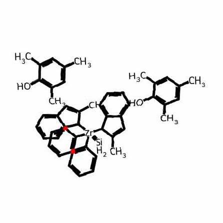 CC1=Cc2ccccc2[CH]1[Zr](=[SiH2])([c]1ccccc1)([c]1ccccc1)[CH]1C(C)=Cc2ccccc21.Cc1cc(C)c(O)c(C)c1.Cc1cc(C)c(O)c(C)c1